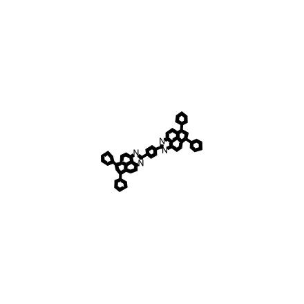 c1ccc(-c2cc(-c3ccccc3)c3ccc4nc(-c5ccc(-c6nc7ccc8c(-c9ccccc9)cc(-c9ccccc9)c9ccc(n6)c7c89)cc5)nc5ccc2c3c54)cc1